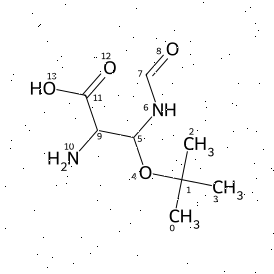 CC(C)(C)OC(NC=O)C(N)C(=O)O